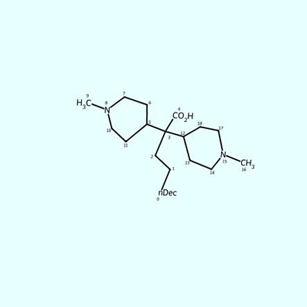 CCCCCCCCCCCCC(C(=O)O)(C1CCN(C)CC1)C1CCN(C)CC1